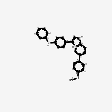 CC(C)Oc1ccc(-c2ccc3ncc(-c4ccc(Oc5ccccc5)cc4)n3c2)cc1